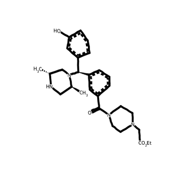 CCOC(=O)CN1CCN(C(=O)c2cccc([C@H](c3cccc(O)c3)N3C[C@@H](C)NC[C@@H]3C)c2)CC1